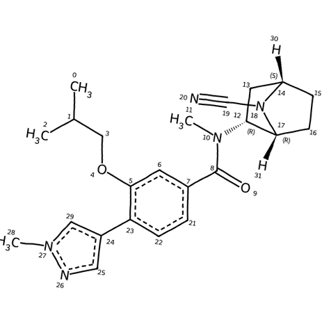 CC(C)COc1cc(C(=O)N(C)[C@@H]2C[C@@H]3CC[C@H]2N3C#N)ccc1-c1cnn(C)c1